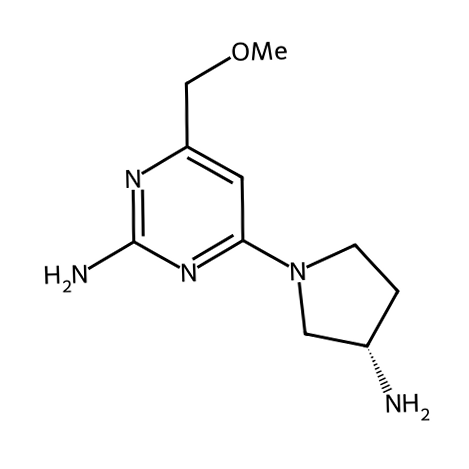 COCc1cc(N2CC[C@H](N)C2)nc(N)n1